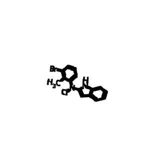 Cc1c(Br)cccc1N(Cl)c1cc2ccccc2[nH]1